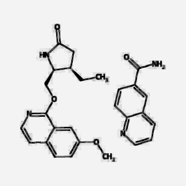 CC[C@@H]1CC(=O)N[C@@H]1COc1nccc2ccc(OC)cc12.NC(=O)c1ccc2ncccc2c1